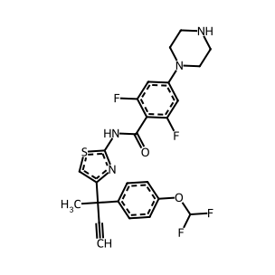 C#CC(C)(c1ccc(OC(F)F)cc1)c1csc(NC(=O)c2c(F)cc(N3CCNCC3)cc2F)n1